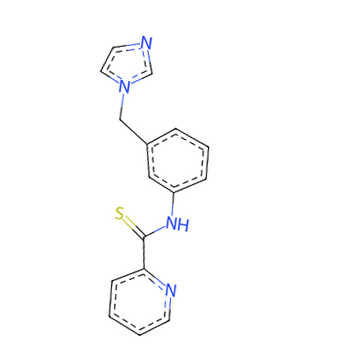 S=C(Nc1cccc(Cn2ccnc2)c1)c1ccccn1